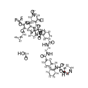 O=C(NCCNC(=O)c1cccc(S(=O)(=O)N2CCS[C@]2(C(=O)O)[C@@H](Cc2c(Cl)c[n+]([O-])cc2Cl)c2ccc(OC(F)F)c(OCC3CC3)c2)c1)c1cccc(CN(C(=O)O[C@H]2CN3CCC2CC3)c2ccccc2)c1.O=CO